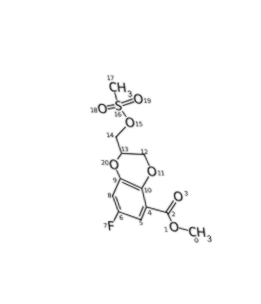 COC(=O)c1cc(F)cc2c1OCC(COS(C)(=O)=O)O2